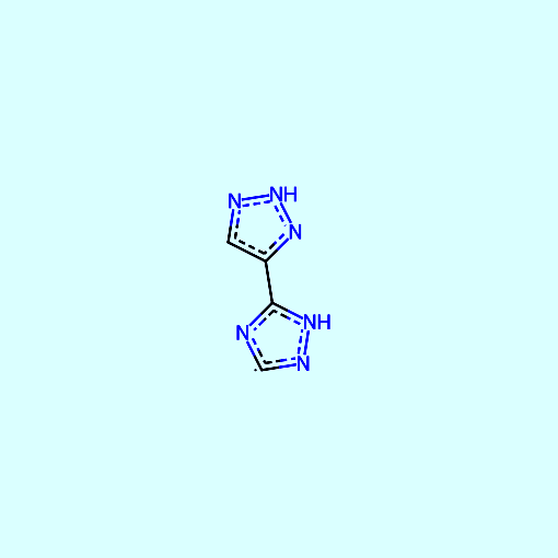 [c]1n[nH]c(-c2cn[nH]n2)n1